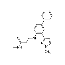 Cn1ccc(-c2cc(-c3ccccc3)ccc2NCCC(=O)NI)n1